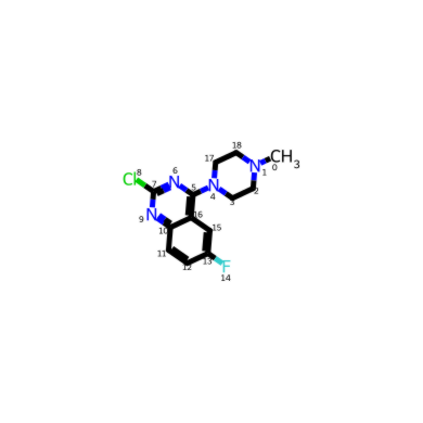 CN1CCN(c2nc(Cl)nc3ccc(F)cc23)CC1